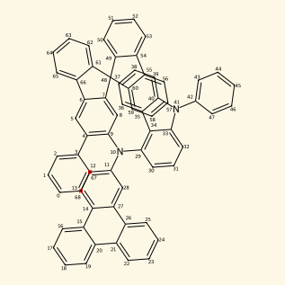 c1ccc(-c2cc3c(cc2N(c2ccc4c5ccccc5c5ccccc5c4c2)c2cccc4c2c2ccccc2n4-c2ccccc2)C2(c4ccccc4-c4ccccc42)c2ccccc2-3)cc1